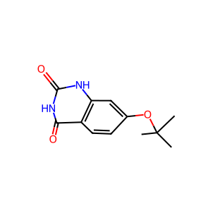 CC(C)(C)Oc1ccc2c(=O)[nH]c(=O)[nH]c2c1